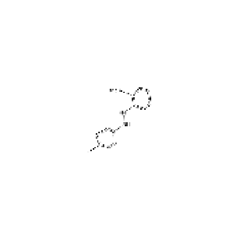 COc1ccccc1NNc1ccc(C)cc1